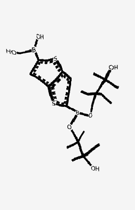 CC(C)(O)C(C)(C)OB(OC(C)(C)C(C)(C)O)c1cc2sc(B(O)O)cc2s1